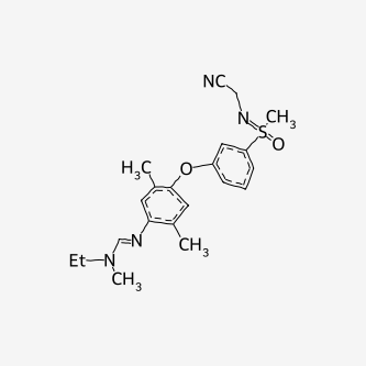 CCN(C)C=Nc1cc(C)c(Oc2cccc(S(C)(=O)=NCC#N)c2)cc1C